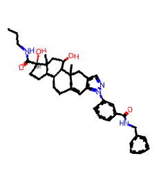 CCCNC(=O)[C@@]1(O)CCC2C3CCC4=Cc5c(cnn5-c5cccc(C(=O)NCc6ccccc6)c5)CC4(C)C3C(O)CC21C